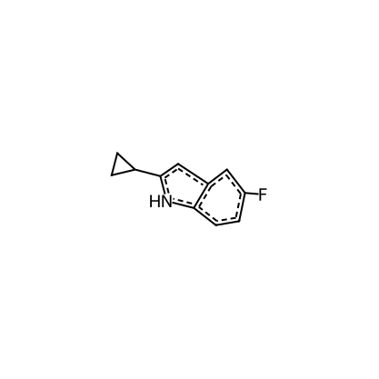 Fc1ccc2[nH]c(C3CC3)cc2c1